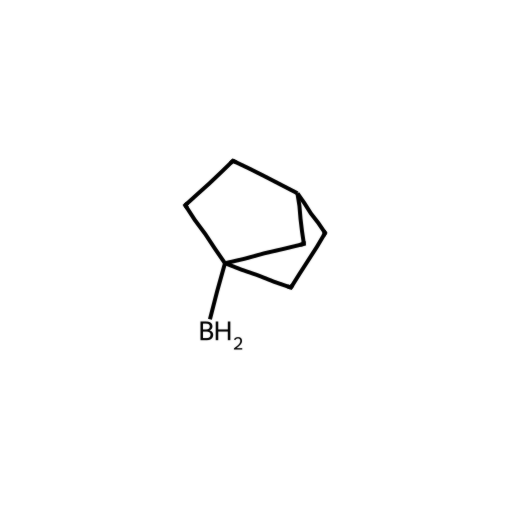 BC12CCC(CC1)C2